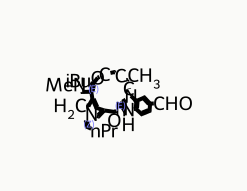 C=C1C2=CC(=CN1/C=C\CCC)C(=O)/N=C1\Nc3ccc(C=O)cc3N1CC(C)CCCO/C(C(C)CC)=C\2CNC